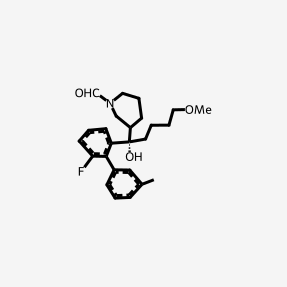 COCCCC[C@@](O)(c1cccc(F)c1-c1cccc(C)c1)C1CCCN(C=O)C1